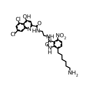 NCCCCCCc1ccc([N+](=O)[O-])c2c1NON2NCCNC(=O)c1cc(O)c2c(Cl)cc(Cl)cc2n1